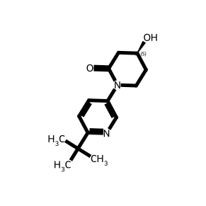 CC(C)(C)c1ccc(N2CC[C@H](O)CC2=O)cn1